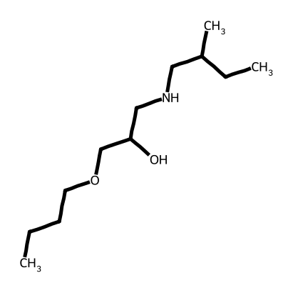 CCCCOCC(O)CNCC(C)CC